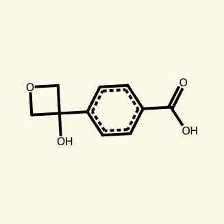 O=C(O)c1ccc(C2(O)COC2)cc1